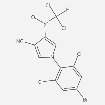 N#Cc1cn(-c2c(Cl)cc(Br)cc2Cl)cc1[S+]([O-])C(F)(Cl)Cl